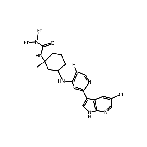 CCN(CC)C(=O)N[C@]1(C)CCCC(Nc2nc(-c3c[nH]c4ncc(Cl)cc34)ncc2F)C1